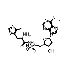 Cc1[nH]cnc1C[C@H](N)C(=O)NP(=O)(O)OC[C@H]1O[C@@H](n2cnc3c(N)ncnc32)C[C@@H]1O